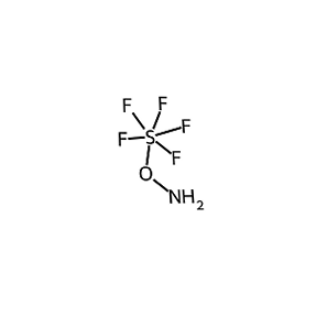 NOS(F)(F)(F)(F)F